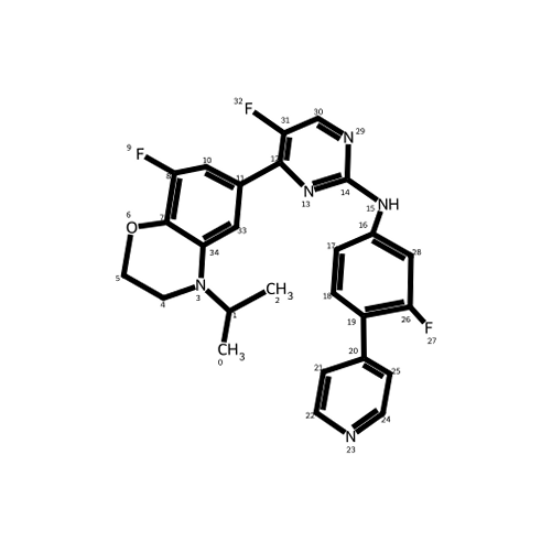 CC(C)N1CCOc2c(F)cc(-c3nc(Nc4ccc(-c5ccncc5)c(F)c4)ncc3F)cc21